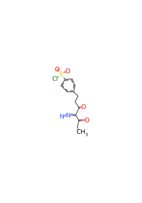 CCC(=O)C(=[N+]=[N-])C(=O)CCc1ccc(S(=O)(=O)Cl)cc1